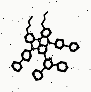 CCCCc1ccc2c(c1)B1c3cc(CCCC)ccc3N(c3ccc(-c4ccccc4)cc3)c3cc(-c4cc(-c5ccccc5)cc(-c5ccccc5)n4)cc(c31)N2c1ccc(-c2ccccc2)cc1